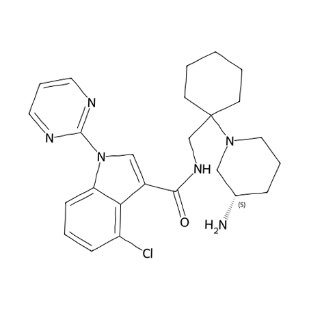 N[C@H]1CCCN(C2(CNC(=O)c3cn(-c4ncccn4)c4cccc(Cl)c34)CCCCC2)C1